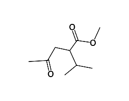 COC(=O)C(CC(C)=O)C(C)C